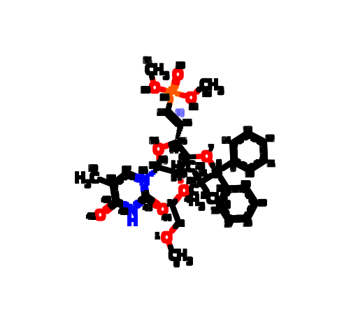 COCCO[C@H]1C(O[Si](c2ccccc2)(c2ccccc2)C(C)(C)C)[C@@H](/C=C/P(=O)(OC)OC)O[C@H]1n1cc(C)c(=O)[nH]c1=O